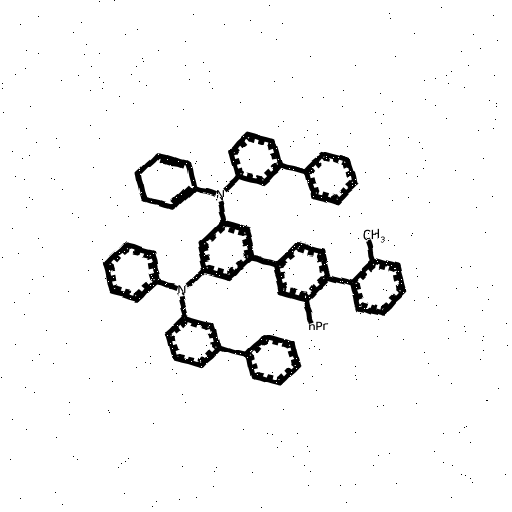 CCCc1cc(-c2cc(N(C3=CCCC=C3)c3cccc(-c4ccccc4)c3)cc(N(c3ccccc3)c3cccc(-c4ccccc4)c3)c2)ccc1-c1ccccc1C